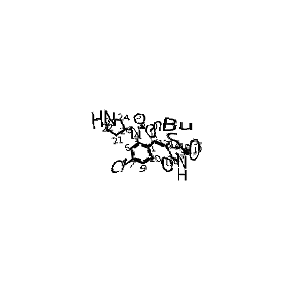 CCCCOC(=O)N(c1cc(Cl)ccc1C=C1SC(=O)NC1=O)C1CCNC1